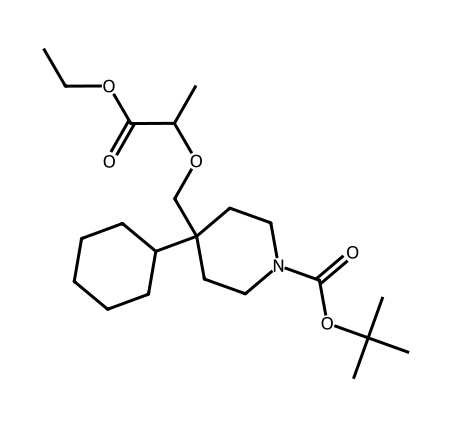 CCOC(=O)C(C)OCC1(C2CCCCC2)CCN(C(=O)OC(C)(C)C)CC1